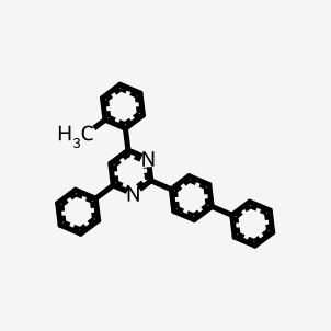 Cc1ccccc1-c1cc(-c2ccccc2)nc(-c2ccc(-c3ccccc3)cc2)n1